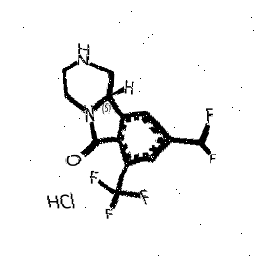 Cl.O=C1c2c(cc(C(F)F)cc2C(F)(F)F)[C@H]2CNCCN12